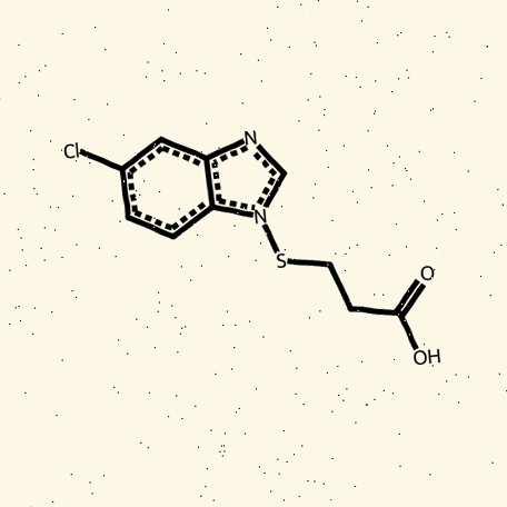 O=C(O)CCSn1cnc2cc(Cl)ccc21